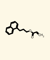 C=CC(=O)OCCCc1cccc2ccccc12